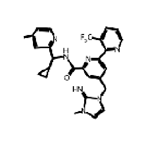 Cc1ccnc(C(NC(=O)c2cc(Cn3ccn(C)c3=N)cc(-c3ncccc3C(F)(F)F)n2)C2CC2)c1